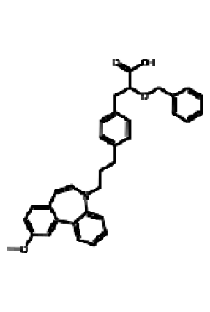 COc1ccc2c(c1)-c1ccccc1N(CCCc1ccc(CC(OCc3ccccc3)C(=O)O)cc1)C=C2